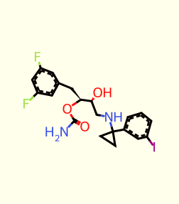 NC(=O)O[C@@H](Cc1cc(F)cc(F)c1)[C@@H](O)CNC1(c2cccc(I)c2)CC1